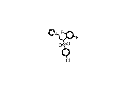 O=S(=O)(c1ccc(Cl)cc1)C(CCn1cccc1)c1cc(F)ccc1F